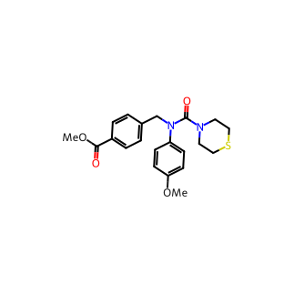 COC(=O)c1ccc(CN(C(=O)N2CCSCC2)c2ccc(OC)cc2)cc1